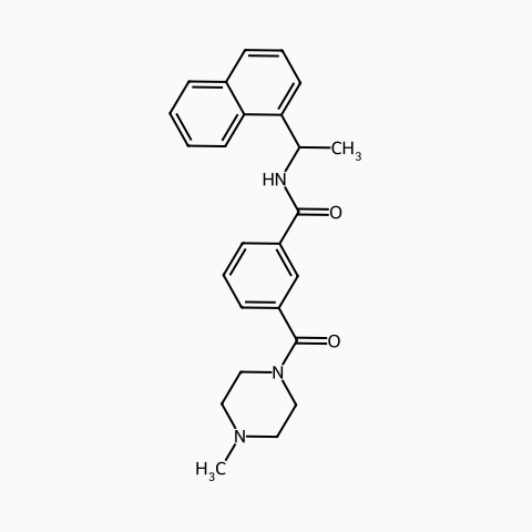 CC(NC(=O)c1cccc(C(=O)N2CCN(C)CC2)c1)c1cccc2ccccc12